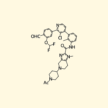 CC(=O)N1CCC(N2CCc3c(nc(C(=O)Nc4cccc(-c5ccnc(-c6ccc(C=O)c(OC(F)F)c6)c5Cl)c4C)n3C)C2)CC1